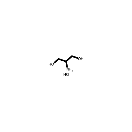 Cl.NC(CO)CO